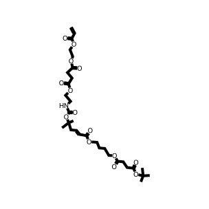 C=CC(=O)OCCOC(=O)CCC(=O)OCCNC(=O)OC(C)(C)C/C=C/C(=O)OCCCCOC(=O)CCC(=O)OC(C)(C)C